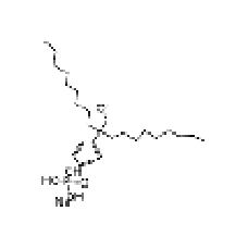 CCCCCCCCCC(C[O-])(CCCCCCCCC)c1ccccc1.O=P(O)(O)O.[Na+]